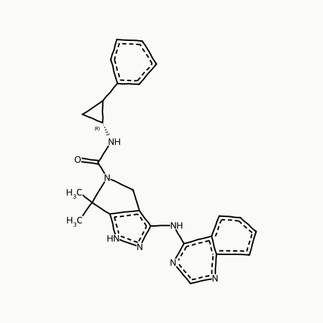 CC1(C)c2[nH]nc(Nc3ncnc4ccccc34)c2CN1C(=O)N[C@@H]1CC1c1ccccc1